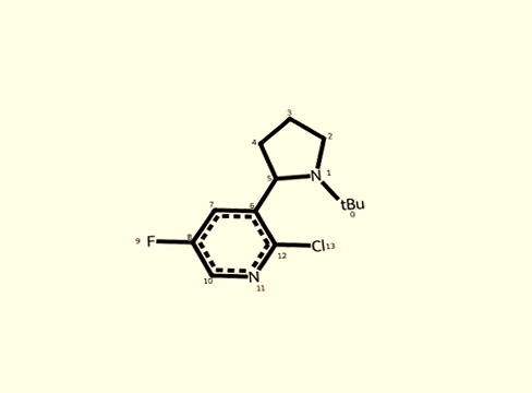 CC(C)(C)N1CCCC1c1cc(F)cnc1Cl